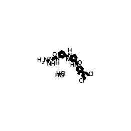 Cc1cc(NC(=O)c2ccc3[nH]c(-c4cccc(NC(=O)CNC(=N)N)c4)nc3c2)ccc1N(CCCl)CCCl.Cl.Cl